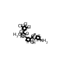 CC(Cl)(Cl)[C@H](C(=O)Nc1ccc(Cl)c(C(=O)Nc2cc(N)ccc2F)c1)c1cc(Cl)c(Cl)c(Cl)c1